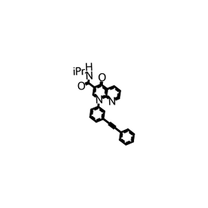 CC(C)NC(=O)c1cn(-c2cccc(C#Cc3ccccc3)c2)c2ncccc2c1=O